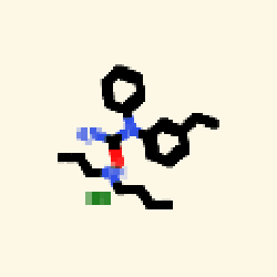 CCCCNCCC.CCc1cccc(N(C(N)=O)c2ccccc2)c1.Cl